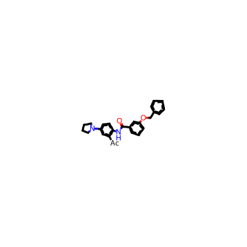 CC(=O)c1cc(N2CCCC2)ccc1NC(=O)c1cccc(OCc2ccccc2)c1